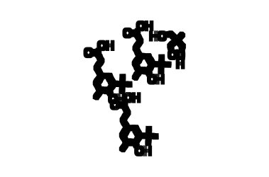 CC(CO)(CO)CO.Cc1cc(CCC(=O)O)cc(C(C)(C)C)c1O.Cc1cc(CCC(=O)O)cc(C(C)(C)C)c1O.Cc1cc(CCC(=O)O)cc(C(C)(C)C)c1O